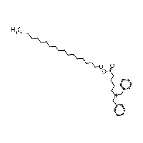 CCCCCCCCCCCCCCCCCCOOC(=O)CCCCN(Cc1ccccc1)Cc1ccccc1